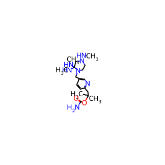 CNN1CCN(Cc2ccc(CC(C)(C)OC(N)=O)nc2)C(NC)(NC)C1